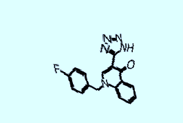 O=c1c(-c2nnn[nH]2)cn(Cc2ccc(F)cc2)c2ccccc12